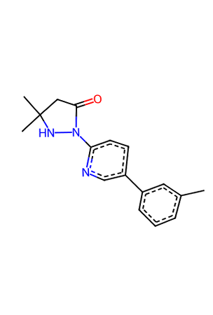 Cc1cccc(-c2ccc(N3NC(C)(C)CC3=O)nc2)c1